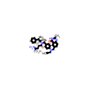 C#CCN(Cc1ccc2nc(C)[nH]c(=O)c2c1)c1ccc(C(=O)N(C(=O)CC[C@H](N)C(=O)O)[C@@](C(=O)O)(C(c2ccccc2)C(C)(C)C)C(C)(C)C)cc1